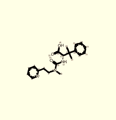 CN(CCc1ccccn1)C(=O)N[C@H](C(=O)O)C(C)(C)c1ccccc1